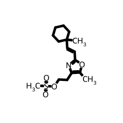 Cc1oc(/C=C/C2(C)CCCCC2)nc1CCOS(C)(=O)=O